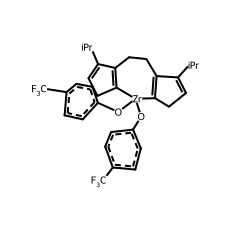 CC(C)C1=CC[C]2=C1CCC1=[C](CC=C1C(C)C)[Zr]2([O]c1ccc(C(F)(F)F)cc1)[O]c1ccc(C(F)(F)F)cc1